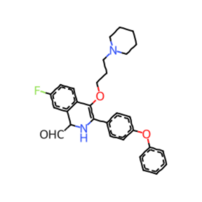 O=CC1NC(c2ccc(Oc3ccccc3)cc2)=C(OCCCN2CCCCC2)c2ccc(F)cc21